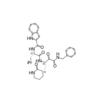 CC(C)C[C@H](NC(=O)c1cc2ccccc2[nH]1)C(=O)N[C@@H](C[C@@H]1CCCNC1=O)C(=O)C(=O)NCc1ccccc1